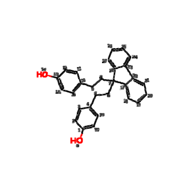 Oc1ccc(CCC2(CCc3ccc(O)cc3)c3ccccc3-c3ccccc32)cc1